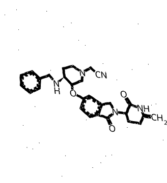 C=C1CCC(N2Cc3cc(OC4CN(CC#N)CC[C@@H]4NCc4ccccc4)ccc3C2=O)C(=O)N1